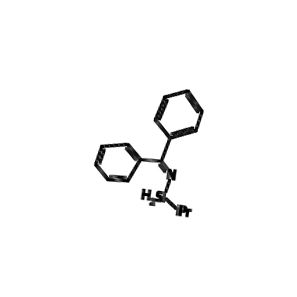 CC(C)[SiH2]N=C(c1ccccc1)c1ccccc1